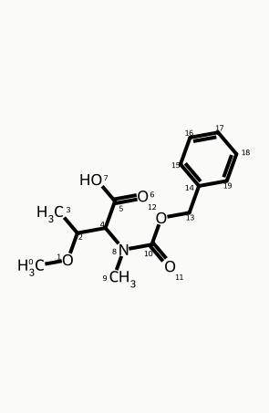 COC(C)C(C(=O)O)N(C)C(=O)OCc1ccccc1